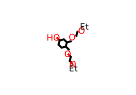 CCOCCOCC1CCC(O)CC1COCCOCC